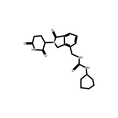 O=C1CCC(N2Cc3c(CNC(=S)NC4CCCCC4)cccc3C2=O)C(=O)N1